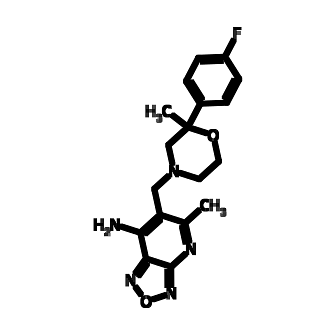 Cc1nc2nonc2c(N)c1CN1CCOC(C)(c2ccc(F)cc2)C1